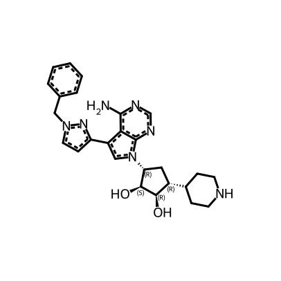 Nc1ncnc2c1c(-c1ccn(Cc3ccccc3)n1)cn2[C@@H]1C[C@H](C2CCNCC2)[C@@H](O)[C@H]1O